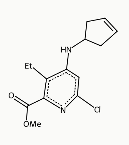 CCc1c(NC2CC=CC2)cc(Cl)nc1C(=O)OC